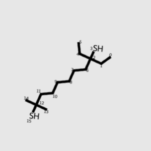 CCC(S)(CC)CCCCCCC(C)(C)S